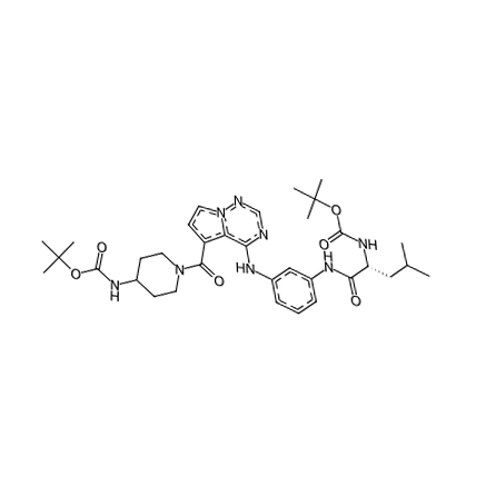 CC(C)C[C@@H](NC(=O)OC(C)(C)C)C(=O)Nc1cccc(Nc2ncnn3ccc(C(=O)N4CCC(NC(=O)OC(C)(C)C)CC4)c23)c1